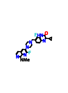 CNc1nccc2cc(N3CCN(Cc4ccc5nc(C6CC6)c(=O)[nH]c5c4F)CC3)c(F)nc12